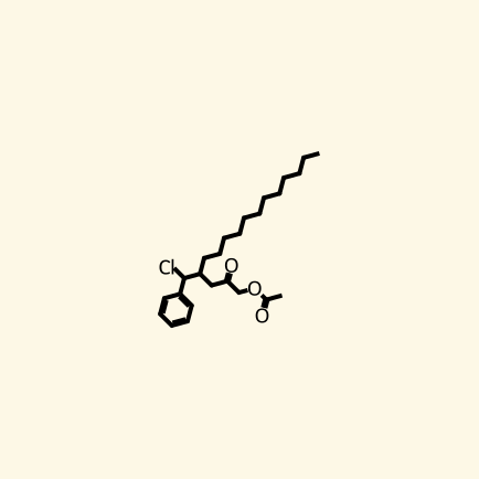 CCCCCCCCCCCCC(CC(=O)COC(C)=O)C(Cl)c1ccccc1